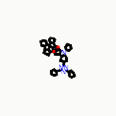 c1ccc(-c2nc(-c3ccccc3)nc(-c3ccc4c(c3)c3cc(-c5cccc6c5C5(c7ccccc7-c7ccccc75)c5ccccc5-6)ccc3n4-c3ccccc3)n2)cc1